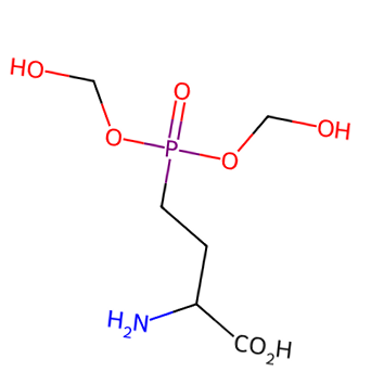 NC(CCP(=O)(OCO)OCO)C(=O)O